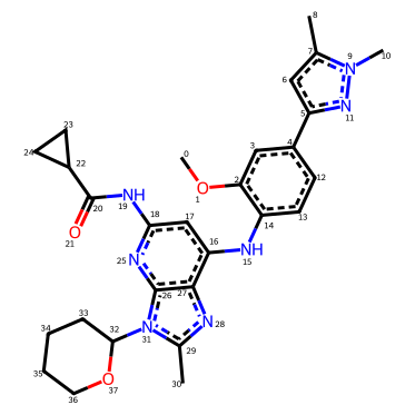 COc1cc(-c2cc(C)n(C)n2)ccc1Nc1cc(NC(=O)C2CC2)nc2c1nc(C)n2C1CCCCO1